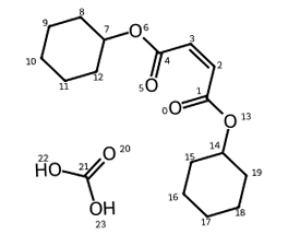 O=C(/C=C\C(=O)OC1CCCCC1)OC1CCCCC1.O=C(O)O